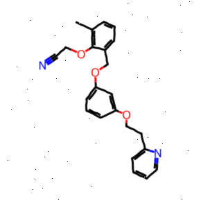 Cc1cccc(COc2cccc(OCCc3ccccn3)c2)c1OCC#N